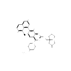 C#Cc1c(F)ccc2cc(O)cc(-c3ccc4c(N5CCC(OC)CC5)nc(OCC56CCCN5CC(F)C6)nc4c3F)c12